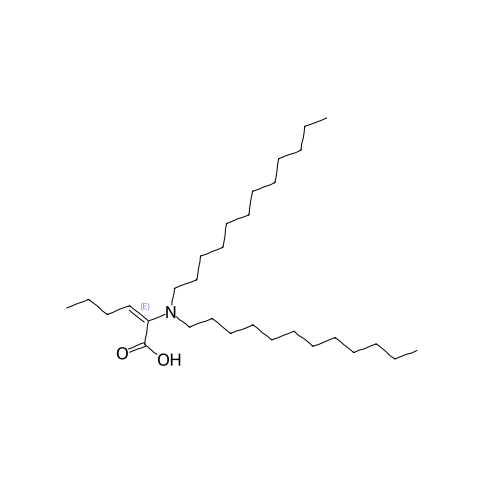 CCC/C=C(\C(=O)O)N(CCCCCCCCCCCC)CCCCCCCCCCCC